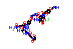 CNCCOc1ccc2oc(C(=O)N3C[C@@H](CCl)c4c3cc(OC(=O)N(C)CCN(C)C(=O)OCc3ccc(NC(=O)C(CCCNC(N)=O)NC(=O)[C@@H](NCCNC(=O)CCCN5C(=O)C=CC5=O)C(C)C)cc3)c3[nH]c(C)c(C(=O)OC)c43)cc2c1